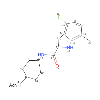 CC(=O)NC1CCC(NC(=O)c2cc3c(F)ccc(C)c3[nH]2)CC1